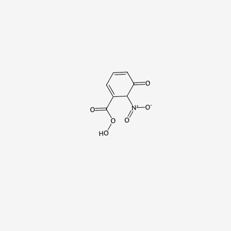 O=C(OO)C1=CC=CC(=O)C1[N+](=O)[O-]